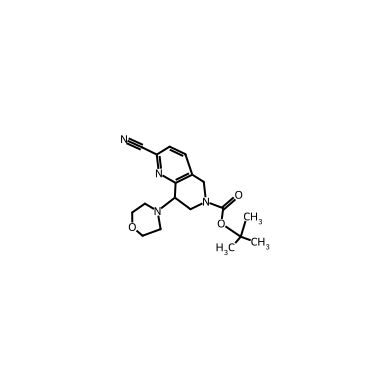 CC(C)(C)OC(=O)N1Cc2ccc(C#N)nc2C(N2CCOCC2)C1